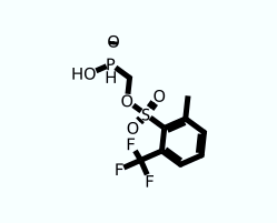 Cc1cccc(C(F)(F)F)c1S(=O)(=O)OC[PH](=O)O